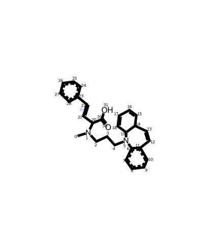 CN(CCCN1c2ccccc2C=CC2C=CC=CC21)C(/C=C/c1ccccc1)C(=O)O